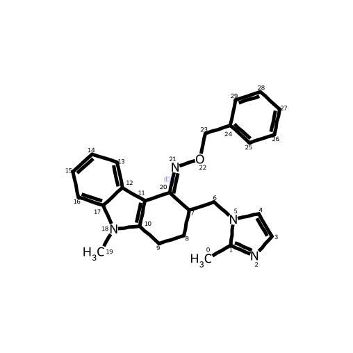 Cc1nccn1CC1CCc2c(c3ccccc3n2C)/C1=N/OCc1ccccc1